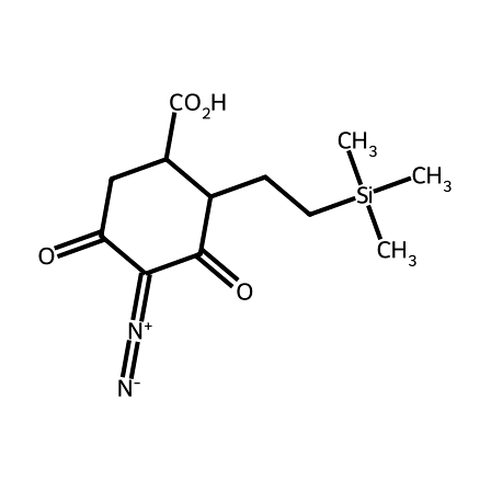 C[Si](C)(C)CCC1C(=O)C(=[N+]=[N-])C(=O)CC1C(=O)O